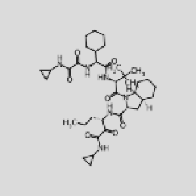 CCC[C@H](NC(=O)[C@@H]1C[C@@H]2CCCC[C@@H]2N1C(=O)[C@@H](NC(=O)[C@@H](NC(=O)C(=O)NC1CC1)C1CCCCC1)C(C)(C)C)C(=O)C(=O)NC1CC1